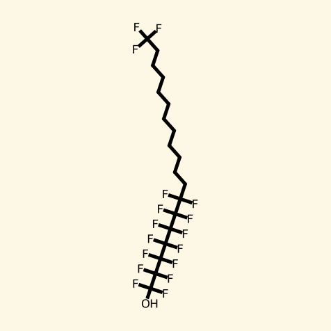 OC(F)(F)C(F)(F)C(F)(F)C(F)(F)C(F)(F)C(F)(F)C(F)(F)CCCCCCCCCCCC(F)(F)F